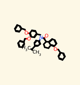 CC(C)c1ccc(N(Cc2ccc(OCc3ccccc3)c(OCc3ccccc3)c2)C(=O)C2CCCc3c(OCc4ccccc4)cccc32)cc1